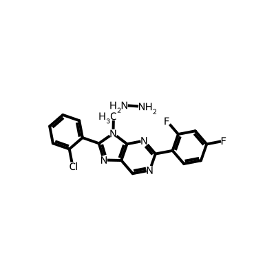 Cn1c(-c2ccccc2Cl)nc2cnc(-c3ccc(F)cc3F)nc21.NN